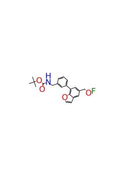 CC(C)(C)OC(=O)NCc1cccc(-c2cc(COF)cc3ccoc23)c1